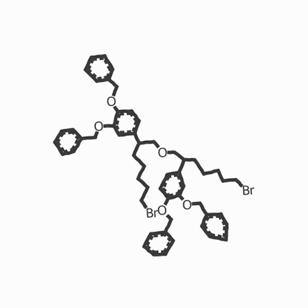 BrCCCCCC(COCC(CCCCCBr)c1ccc(OCc2ccccc2)c(OCc2ccccc2)c1)c1ccc(OCc2ccccc2)c(OCc2ccccc2)c1